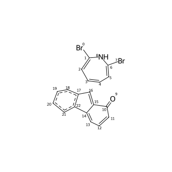 BrC1=CC=CC=C(Br)N1.O=C1C=CC=C2C1=Cc1ccccc12